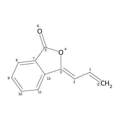 C=CC=C1OC(=O)c2ccccc21